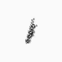 CCCCCCC1(OCC)C=CC(c2ccc(-c3ccc(-c4ccccc4)cc3)c(F)c2F)=CC1